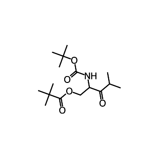 CC(C)C(=O)C(COC(=O)C(C)(C)C)NC(=O)OC(C)(C)C